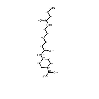 CC(C)OCC(=O)NCCOCCC(=O)N[C@H]1CC[C@@H](C(=O)C(C)C)CC1